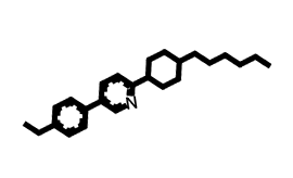 CCCCCCC1CCC(c2ccc(-c3ccc(CC)cc3)cn2)CC1